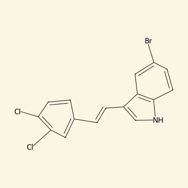 Clc1ccc(/C=C/c2c[nH]c3ccc(Br)cc23)cc1Cl